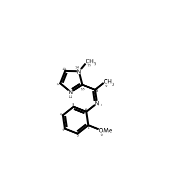 COc1ccccc1N=C(C)c1nccn1C